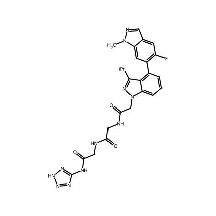 CC(C)c1nn(CC(=O)NCC(=O)NCC(=O)Nc2nn[nH]n2)c2cccc(-c3cc4c(cnn4C)cc3F)c12